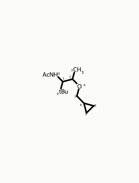 CC(=O)NC(C(C)OCC1CC1)C(C)(C)C